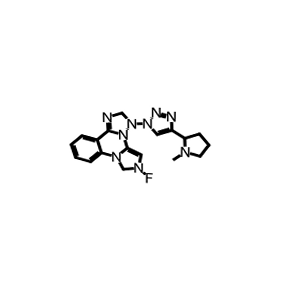 CN1CCCC1c1cn(N2CN=C3c4ccccc4N4CN(F)C=C4N32)nn1